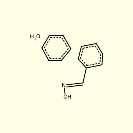 O.ON=Cc1ccccc1.c1ccccc1